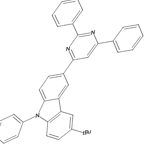 CC(C)(C)c1ccc2c(c1)c1cc(-c3cc(-c4ccccc4)nc(-c4ccccc4)n3)ccc1n2-c1ccccc1